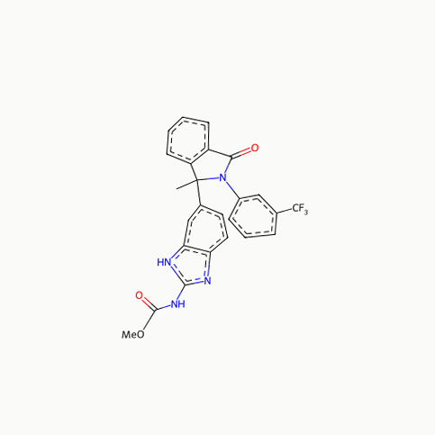 COC(=O)Nc1nc2ccc(C3(C)c4ccccc4C(=O)N3c3cccc(C(F)(F)F)c3)cc2[nH]1